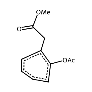 [CH2]C(=O)Oc1ccccc1CC(=O)OC